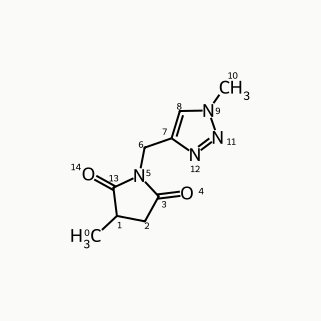 CC1CC(=O)N(Cc2cn(C)nn2)C1=O